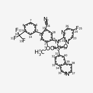 COc1cc(-c2cccc(C(F)(F)F)c2)c(C#N)cc1N(c1ncc(F)cn1)S(=O)(=O)c1ccc2cnccc2c1